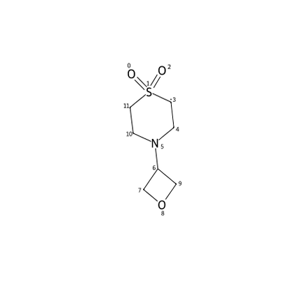 O=S1(=O)[CH]CN(C2COC2)CC1